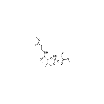 COC(=O)CCNC(=O)[C@@H]1OP(=O)(N[C@@H](C)C(=O)OC)OCC1(C)C